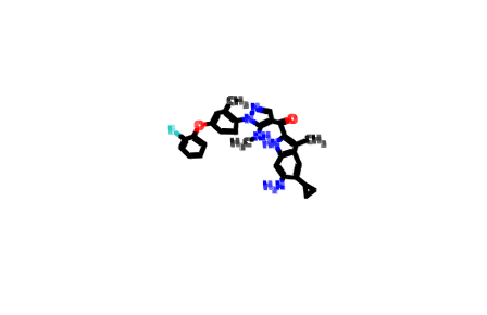 CNc1c(C(=O)c2[nH]c3cc(N)c(C4CC4)cc3c2C)cnn1-c1ccc(Oc2ccccc2F)cc1C